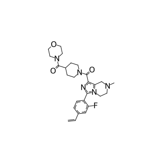 C=Cc1ccc(-c2nc(C(=O)N3CCC(C(=O)N4CCOCC4)CC3)c3n2CCN(C)C3)c(F)c1